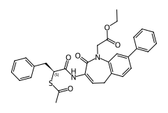 CCOC(=O)CN1C(=O)C(NC(=O)[C@H](Cc2ccccc2)SC(C)=O)=CCc2ccc(-c3ccccc3)cc21